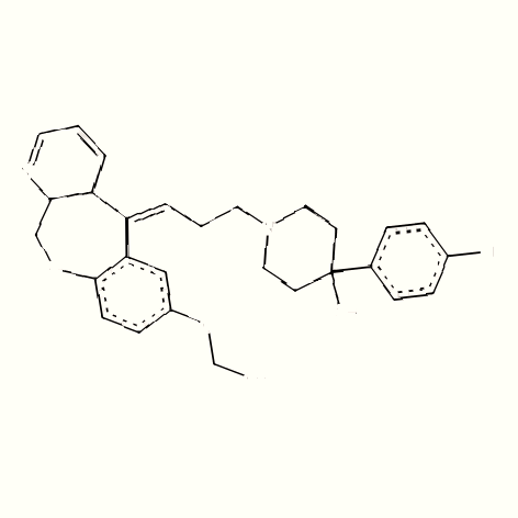 CCOC(=O)COc1ccc2c(c1)C(=CCCN1CCC(O)(c3ccc(Cl)cc3)CC1)C1C=CC=NC1CO2